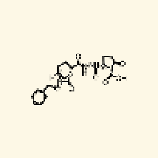 O=C(NNC(=O)[C@@H]1CC[C@@H]2CN1C(=O)N2OCc1ccccc1)[C@H]1CCC(=O)N1C(=O)O